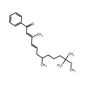 CSC(C)(C)CCCC(C)C/C=C/C(C)=C/C(=O)c1ccccc1